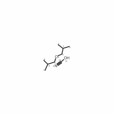 CC(C)COCC(C)C.N#CO